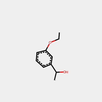 [CH2]C(O)c1cccc(OCC)c1